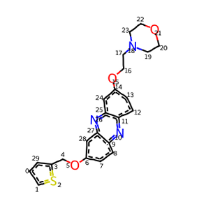 c1csc(COc2ccc3nc4ccc(OCCN5CCOCC5)cc4nc3c2)c1